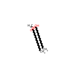 CCCCCCCCCCCCCCCCCC(=O)O.CCCCCCCCCCCCCCCCCC(=O)OCC